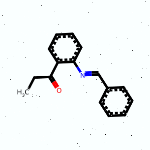 CCC(=O)c1ccccc1N=Cc1ccccc1